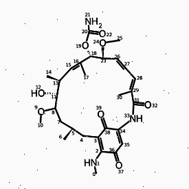 CNC1=C2C[C@@H](C)CC(OC)[C@H](O)[C@@H](C)/C=C(\C)[C@H](OC(N)=O)[C@@H](OC)/C=C\C=C(/C)C(=O)NC(=CC1=O)C2=O